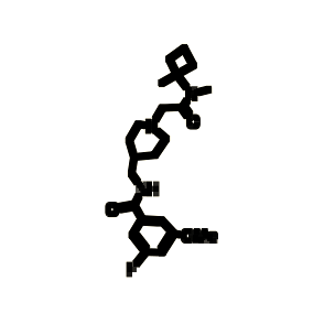 COc1cc(F)cc(C(=O)NCC2CCN(CC(=O)N(C)C3(C)CCC3)CC2)c1